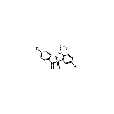 COc1ccc(Br)cc1S(=O)(=O)Nc1ccc(F)cc1